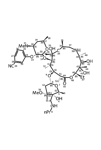 CCCNC[C@]1(O)[C@H](C)O[C@@H](O[C@H]2[C@H](C)[C@@H](O[C@@H]3O[C@H](C)C[C@H](NC)[C@H]3Oc3cccc(C#N)c3)[C@](C)(O)C[C@@H](C)CN[C@H](C)[C@@H](O)[C@](C)(O)[C@@H](CC)OC(=O)[C@@H]2C)C[C@@]1(C)OC